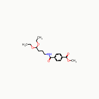 CCOC(CCCNC(=O)c1ccc(C(=O)OC)cc1)OCC